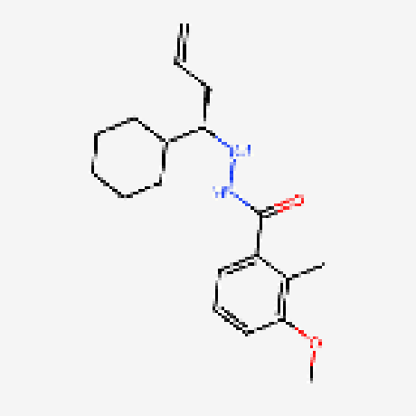 C=CC[C@@H](NNC(=O)c1cccc(OC)c1C)C1CCCCC1